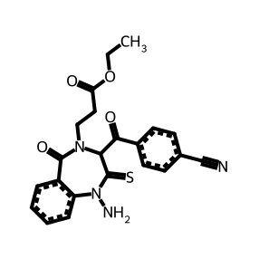 CCOC(=O)CCN1C(=O)c2ccccc2N(N)C(=S)C1C(=O)c1ccc(C#N)cc1